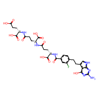 Nc1nc(O)c2c(CCc3ccc(C(=O)N[C@@H](CCC(=O)N[C@@H](CCC(=O)N[C@@H](CCC(=O)O)C(=O)O)C(=O)O)C(=O)O)cc3F)c[nH]c2n1